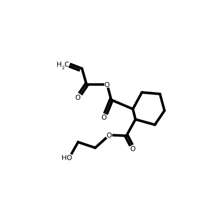 C=CC(=O)OC(=O)C1CCCCC1C(=O)OCCO